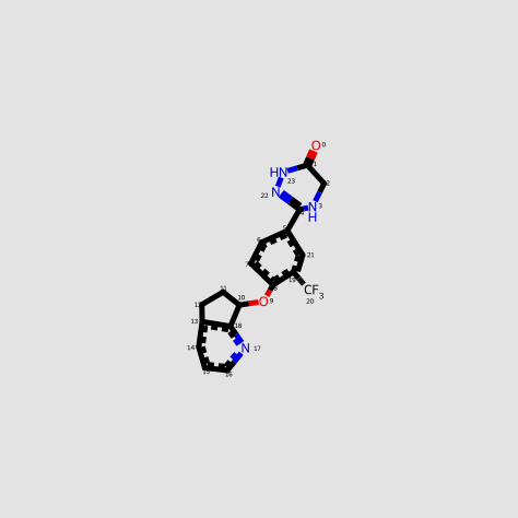 O=C1CNC(c2ccc(OC3CCc4cccnc43)c(C(F)(F)F)c2)=NN1